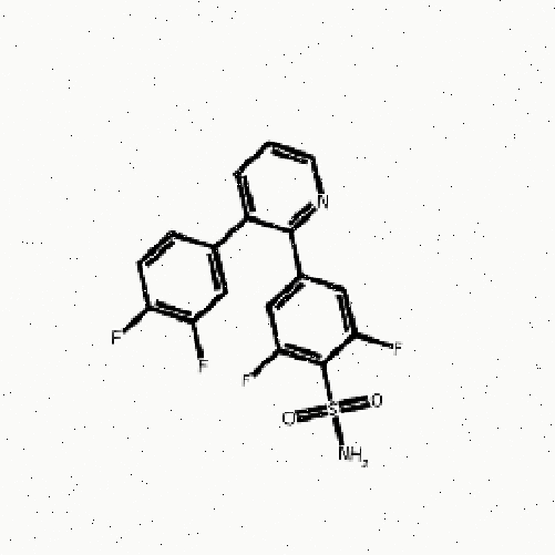 NS(=O)(=O)c1c(F)cc(-c2ncccc2-c2ccc(F)c(F)c2)cc1F